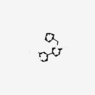 Cc1cc(-c2ccc(=O)n(Cc3ccccc3)c2)ccn1